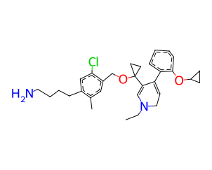 CCN1C=C(C2(OCc3cc(C)c(CCCCN)cc3Cl)CC2)C(c2ccccc2OC2CC2)=CC1